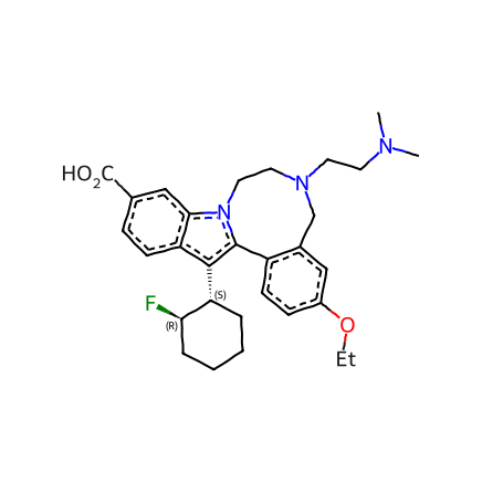 CCOc1ccc2c(c1)CN(CCN(C)C)CCn1c-2c([C@@H]2CCCC[C@H]2F)c2ccc(C(=O)O)cc21